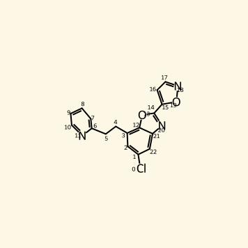 Clc1cc(CCc2ccccn2)c2oc(-c3ccno3)nc2c1